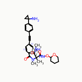 C=C(/C=C\C(C#Cc1ccc(C2(N)CC2)cc1)=C/C)C(=O)N(C)C(C)(C(=O)NC)C(=O)NOC1CCCCO1